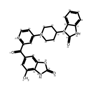 Cc1cc(C(=O)c2cc(N3CCC(n4c(=O)[nH]c5ccccc54)CC3)ccn2)cc2oc(=O)[nH]c12